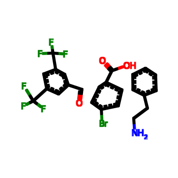 NCCc1ccccc1.O=C(O)c1ccc(Br)cc1.O=Cc1cc(C(F)(F)F)cc(C(F)(F)F)c1